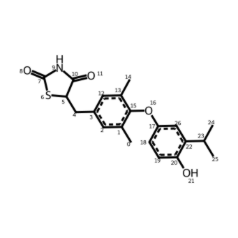 Cc1cc(CC2SC(=O)NC2=O)cc(C)c1Oc1ccc(O)c(C(C)C)c1